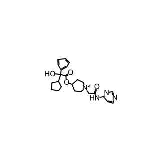 C[N+]1(CC(=O)Nc2ccncn2)CCC(OC(=O)C(O)(c2ccccc2)C2CCCC2)CC1